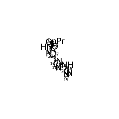 CCCS(=O)(=O)Nc1ccc(-c2ccnc(Nc3cnn(C)c3)n2)cn1